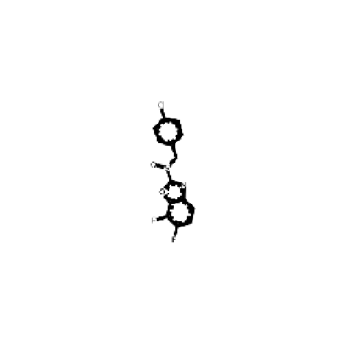 [O-][S+](Cc1ccc(Cl)cc1)c1nc2ccc(F)c(F)c2o1